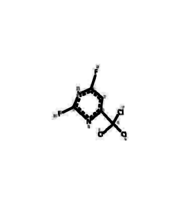 Fc1cc(C(Cl)(Cl)Cl)nc(F)n1